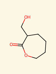 O=C1OCCCCC1CO